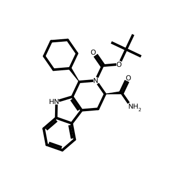 CC(C)(C)OC(=O)N1[C@@H](C(N)=O)Cc2c([nH]c3ccccc23)[C@H]1C1CCCCC1